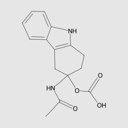 CC(=O)NC1(OC(=O)O)CCc2[nH]c3ccccc3c2C1